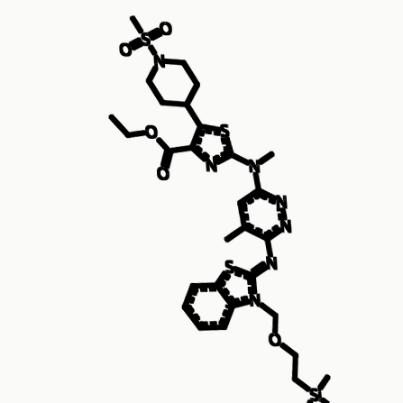 CCOC(=O)c1nc(N(C)c2cc(C)c(/N=c3\sc4ccccc4n3COCC[Si](C)(C)C)nn2)sc1C1CCN(S(C)(=O)=O)CC1